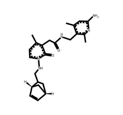 Cc1cc(N)nc(C)c1CNC(=O)Cc1c(C)ccn(NCC2C[C@@H]3C=C[C@H]2C3)c1=O